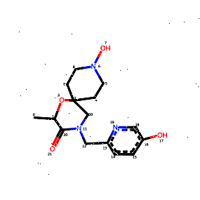 CC1OC2(CCN(O)CC2)CN(Cc2ccc(O)cn2)C1=O